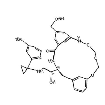 COCc1cc2cc(c1)C(=O)N[C@H]([C@H](O)CNC1(c3cc(C(C)(C)C)ccn3)CC1)Cc1cccc(c1)OCCCCN2